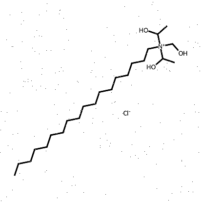 CCCCCCCCCCCCCCCCCC[N+](CO)(C(C)O)C(C)O.[Cl-]